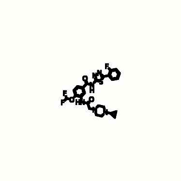 O=C(CN1CCN(C2CC2)CC1)Nc1cc(C(=O)Nc2nnc(-c3ccccc3F)s2)ccc1OC(F)F